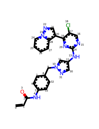 C=CC(=O)Nc1ccc(Cn2cc(Nc3ncc(Cl)c(-c4cnn5ccccc45)n3)cn2)cc1